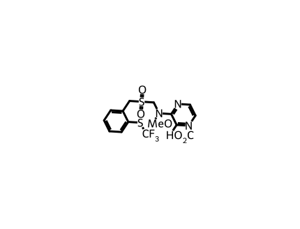 CON(CS(=O)(=O)Cc1ccccc1SC(F)(F)F)c1nccnc1C(=O)O